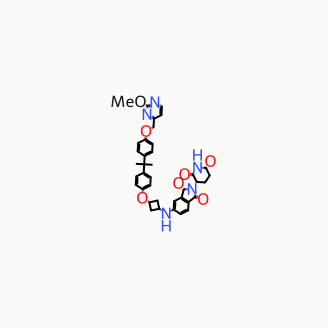 COc1nccc(COc2ccc(C(C)(C)c3ccc(OC4CC(Nc5ccc6c(c5)C(=O)N(C5CCC(=O)NC5=O)C6=O)C4)cc3)cc2)n1